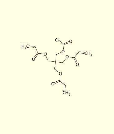 C=CC(=O)OCC(COC(=O)Cl)(COC(=O)C=C)COC(=O)C=C